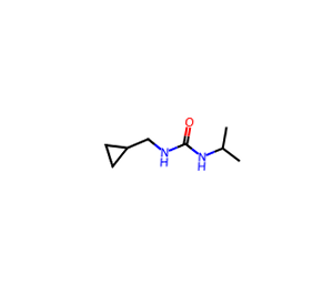 CC(C)NC(=O)NCC1CC1